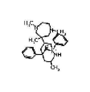 CC1CC2(c3ccccc3)CC(C3(C)CN(C)CCN(C)C3)C[N+](c3ccccc3)(N1)C2=O